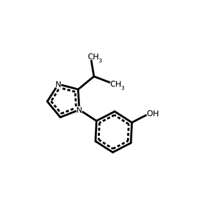 CC(C)c1nccn1-c1cccc(O)c1